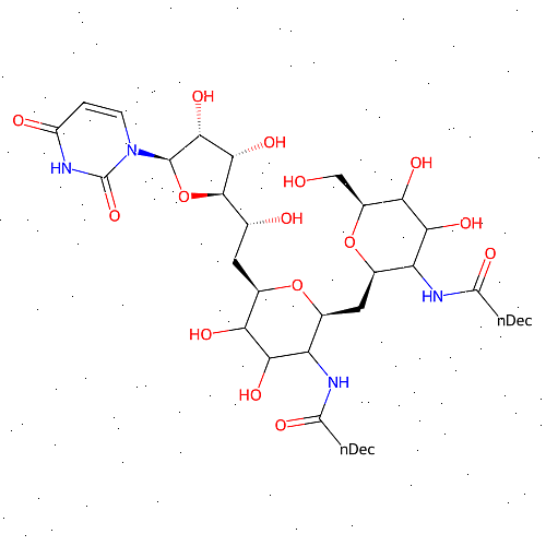 CCCCCCCCCCC(=O)NC1C(O)C(O)[C@@H](C[C@@H](O)[C@H]2O[C@@H](n3ccc(=O)[nH]c3=O)[C@H](O)[C@@H]2O)O[C@H]1C[C@H]1O[C@@H](CO)C(O)C(O)C1NC(=O)CCCCCCCCCC